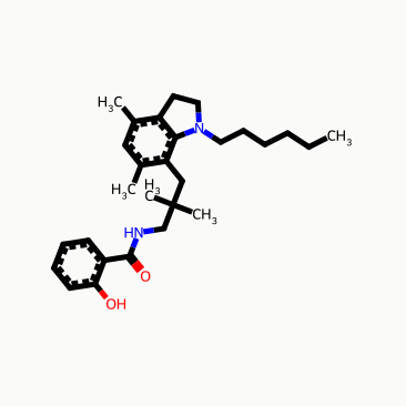 CCCCCCN1CCc2c(C)cc(C)c(CC(C)(C)CNC(=O)c3ccccc3O)c21